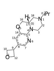 CC(C)N1CCN2c3ncc(C4COC4)cc3OC[C@@H]2C1